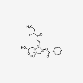 CCC(F)C(=O)C=C[C@H]1[C@H](CC(=O)O)[C@H](O)C[C@@H]1OC(=O)c1ccccc1